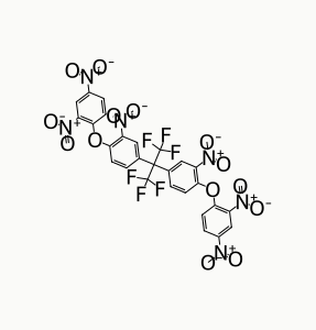 O=[N+]([O-])c1ccc(Oc2ccc(C(c3ccc(Oc4ccc([N+](=O)[O-])cc4[N+](=O)[O-])c([N+](=O)[O-])c3)(C(F)(F)F)C(F)(F)F)cc2[N+](=O)[O-])c([N+](=O)[O-])c1